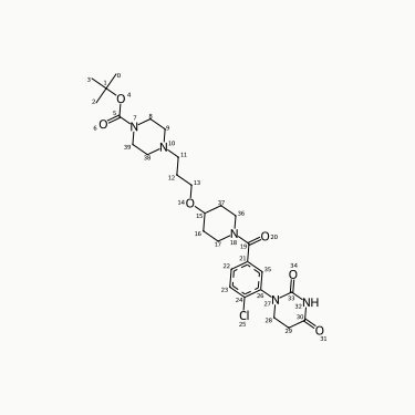 CC(C)(C)OC(=O)N1CCN(CCCOC2CCN(C(=O)c3ccc(Cl)c(N4CCC(=O)NC4=O)c3)CC2)CC1